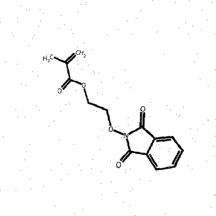 C=C(C)C(=O)OCCON1C(=O)c2ccccc2C1=O